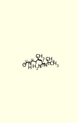 C/C(=C/C(N)=N\C(C)C)CCNC=O